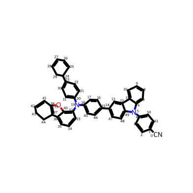 N#Cc1ccc(-n2c3ccccc3c3cc(-c4ccc(N(c5ccc(C6C=CC=CC6)cc5)c5cccc6c7c(oc56)C=CCC7)cc4)ccc32)cc1